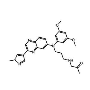 COc1cc(OC)cc(N(CCCNCC(C)=O)c2ccc3ncc(-c4cnn(C)c4)nc3c2)c1